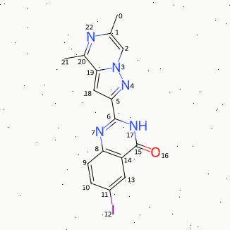 Cc1cn2nc(-c3nc4ccc(I)cc4c(=O)[nH]3)cc2c(C)n1